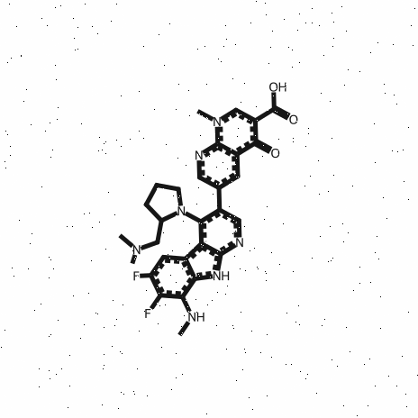 CNc1c(F)c(F)cc2c1[nH]c1ncc(-c3cnc4c(c3)c(=O)c(C(=O)O)cn4C)c(N3CCCC3CN(C)C)c12